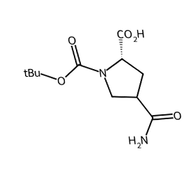 CC(C)(C)OC(=O)N1CC(C(N)=O)C[C@H]1C(=O)O